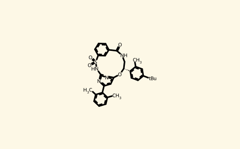 Cc1cc(C(C)(C)C)ccc1[C@H]1CNC(=O)c2cccc(c2)S(=O)(=O)Nc2nc(cc(-c3c(C)cccc3C)n2)O1